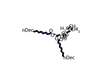 CCCCCCCCCCCCC/C=C/C=C/C(=O)OC[C@H](COP(=O)([O-])OCC[N+](C)(C)C)OC(=O)/C=C/C=C/CCCCCCCCCCCCC